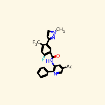 CC(=O)c1cnc(-c2ccccc2)c(NC(=O)c2cc(-c3ccn(C)n3)c(C(F)(F)F)cc2F)c1